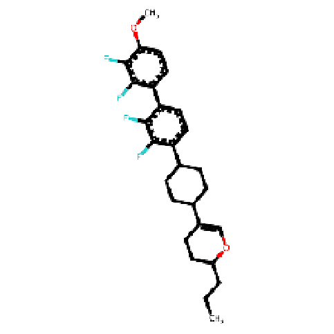 CCCC1CCC(C2CCC(c3ccc(-c4ccc(OC)c(F)c4F)c(F)c3F)CC2)=CO1